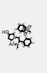 CC(=O)N(C)C(CN1CCC(O)C1)c1ccccc1.CS(=O)(=O)n1c2ccc1cc2